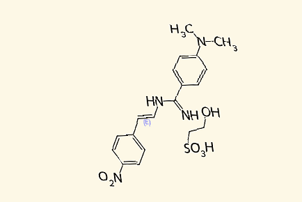 CN(C)c1ccc(C(=N)N/C=C/c2ccc([N+](=O)[O-])cc2)cc1.O=S(=O)(O)CCO